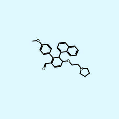 COc1ccc(C2=C(C=O)C=CC(OCCN3CCCC3)C2c2cccc3ccccc23)cc1